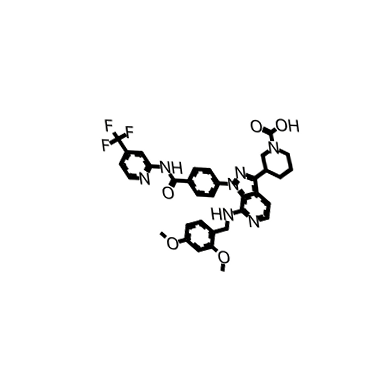 COc1ccc(CNc2nccc3c(C4CCCN(C(=O)O)C4)nn(-c4ccc(C(=O)Nc5cc(C(F)(F)F)ccn5)cc4)c23)c(OC)c1